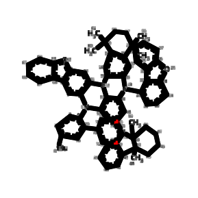 CC(C)(C)c1ccc(N2c3cc4c(cc3B3c5cc6c(cc5N(c5cccc7oc8ccccc8c57)c5cc(N7c8ccccc8C8(C)CCCCC78C)cc2c53)C(C)(C)CCC6(C)C)sc2ccccc24)c(-c2ccccc2)c1